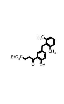 CCOC(=O)CCC(=O)c1cc(Cc2c(C)cccc2C)ccc1O